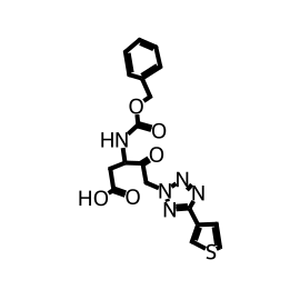 O=C(O)CC(NC(=O)OCc1ccccc1)C(=O)Cn1nnc(-c2ccsc2)n1